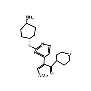 CN/C=C(\C(=N)C1CCOCC1)c1ccnc(N[C@H]2CC[C@H](N)CC2)n1